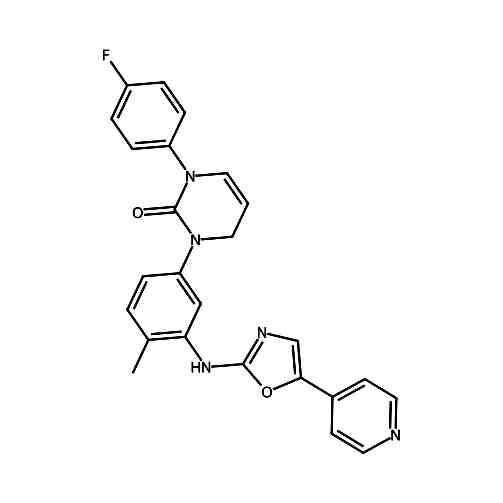 Cc1ccc(N2CC=CN(c3ccc(F)cc3)C2=O)cc1Nc1ncc(-c2ccncc2)o1